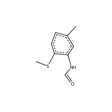 CSc1ccc(C)cc1NC=O